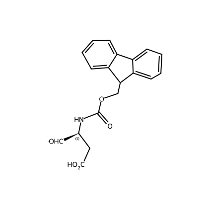 O=[C][C@H](CC(=O)O)NC(=O)OCC1c2ccccc2-c2ccccc21